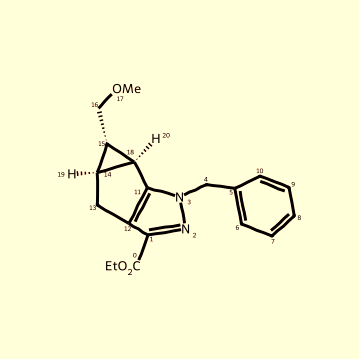 CCOC(=O)c1nn(Cc2ccccc2)c2c1C[C@H]1[C@H](COC)[C@@H]21